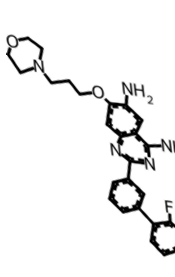 Nc1cc2c(N)nc(-c3cccc(-c4ccc(F)cc4F)c3)nc2cc1OCCCN1CCOCC1